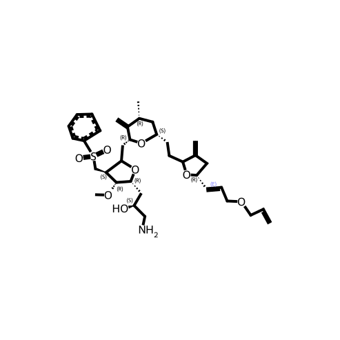 C=CCOC/C=C/[C@H]1CC(=C)C(CC[C@H]2C[C@@H](C)C(=C)[C@@H](CC3O[C@H](C[C@H](O)CN)[C@H](OC)[C@H]3CS(=O)(=O)c3ccccc3)O2)O1